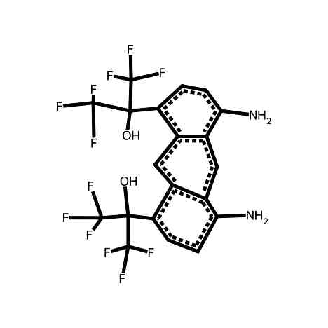 Nc1ccc(C(O)(C(F)(F)F)C(F)(F)F)c2cc3c(C(O)(C(F)(F)F)C(F)(F)F)ccc(N)c3cc12